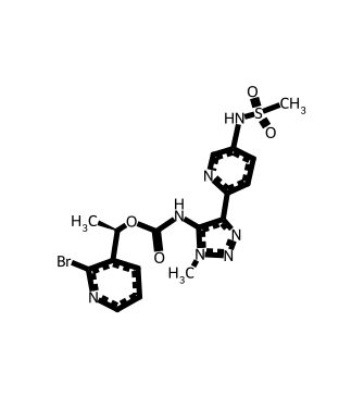 C[C@@H](OC(=O)Nc1c(-c2ccc(NS(C)(=O)=O)cn2)nnn1C)c1cccnc1Br